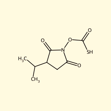 CC(C)C1CC(=O)N(OC(=O)S)C1=O